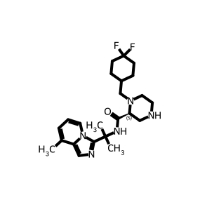 Cc1cccn2c(C(C)(C)NC(=O)[C@@H]3CNCCN3CC3CCC(F)(F)CC3)ncc12